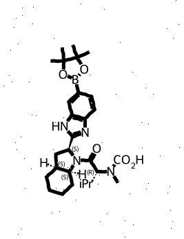 CC(C)[C@H](C(=O)N1[C@H](c2nc3ccc(B4OC(C)(C)C(C)(C)O4)cc3[nH]2)C[C@@H]2CCCC[C@@H]21)N(C)C(=O)O